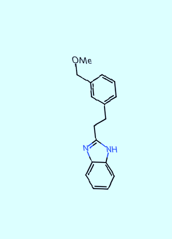 COCc1cccc(CCc2nc3ccccc3[nH]2)c1